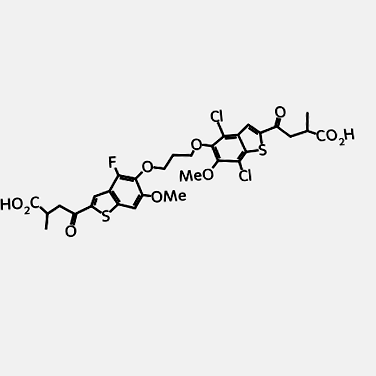 COc1cc2sc(C(=O)CC(C)C(=O)O)cc2c(F)c1OCCCOc1c(OC)c(Cl)c2sc(C(=O)CC(C)C(=O)O)cc2c1Cl